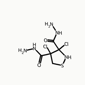 NNC(=O)C1(Cl)CSNC1(Cl)C(=O)NN